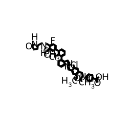 CCN(Cc1cc(Cl)c(Cn2ncc3c(-c4cccc(-c5cc(F)c(CNCC6CCC(=O)N6)c(OC)c5)c4Cl)cccc32)cc1OC)C12CCC(C(=O)O)(CC1)CC2